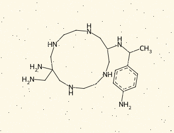 CC(NC1CNCCNCC(N)(CN)CNCCNC1)c1ccc(N)cc1